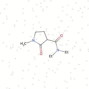 CCN(CC)C(=O)C1CCN(C)C1=O